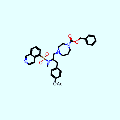 CC(=O)Oc1ccc(CC(CN2CCCN(C(=O)OCc3ccccc3)CC2)N(C)S(=O)(=O)c2cccc3cnccc23)cc1